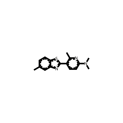 Cc1ccc2sc(-c3ccc(N(C)C)nc3C)nc2c1